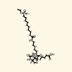 CCOP(=O)(F)CCCCCCCCCC(=O)NCCCCCNC(=O)[C@@]1(CCCCC(=O)O)SC[C@@H]2NC(=O)N[C@@H]21